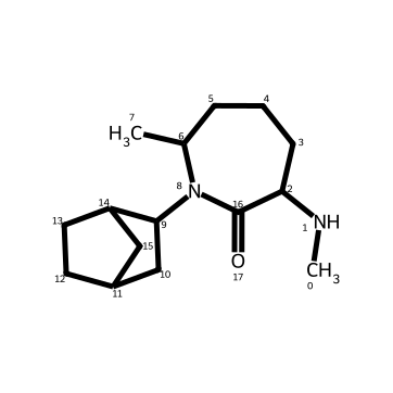 CNC1CCCC(C)N(C2CC3CCC2C3)C1=O